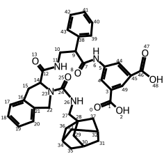 O=C(O)c1cc(NC(=O)C(CNC(=O)C2Cc3ccccc3CN2C(=O)NCC23CC4CC(CC(C4)C2)C3)c2ccccc2)cc(C(=O)O)c1